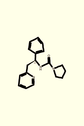 O=C(N[C@@H](Cc1ccccn1)c1ccccc1)N1CCCC1